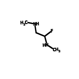 CNCC(F)NC